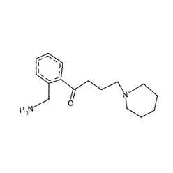 NCc1ccccc1C(=O)CCCN1CCCCC1